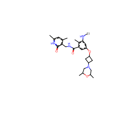 CCNc1cc(OC2CC(N3CC(C)OC(C)C3)C2)cc(C(=O)NCc2c(C)cc(C)[nH]c2=O)c1C